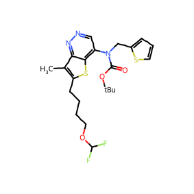 Cc1c(CCCCOC(F)F)sc2c(N(Cc3cccs3)C(=O)OC(C)(C)C)cnnc12